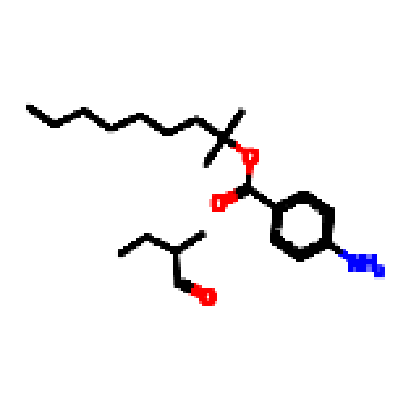 CCC(C)C=O.CCCCCCCC(C)(C)OC(=O)c1ccc(N)cc1